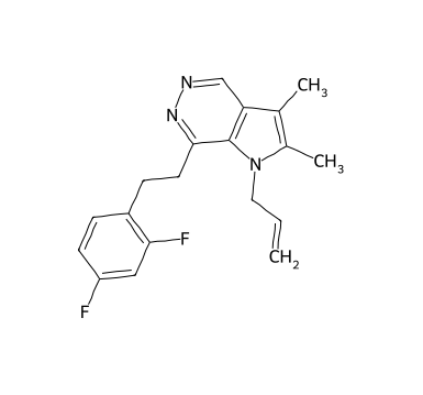 C=CCn1c(C)c(C)c2cnnc(CCc3ccc(F)cc3F)c21